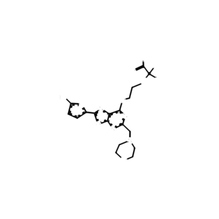 CCCOc1nc(CN2CCOCC2)nc2oc(-c3ccc(Br)o3)nc12.O=C(O)C(F)(F)F